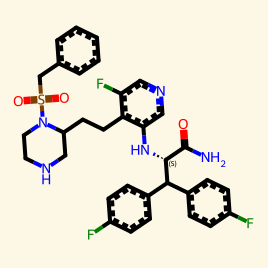 NC(=O)[C@@H](Nc1cncc(F)c1CCC1CNCCN1S(=O)(=O)Cc1ccccc1)C(c1ccc(F)cc1)c1ccc(F)cc1